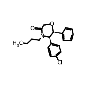 CCCCN1C(=O)CO[C@@H](c2ccccc2)[C@H]1c1ccc(Cl)cc1